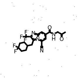 CC(=O)CNC(=O)c1cc(C#N)n2c(CC3CCC(F)(F)CC3)c(C(F)(F)F)nc2c1